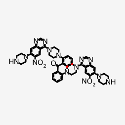 O=C(c1ccccc1N1CCN(c2ncnc3cc(N4CCNCC4)c([N+](=O)[O-])cc23)CC1)c1ccccc1N1CCN(c2ncnc3cc(N4CCNCC4)c([N+](=O)[O-])cc23)CC1